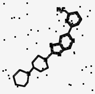 Cc1cccc(-c2cc3sc(N4CCC(N5CCCCC5)CC4)nc3cn2)n1